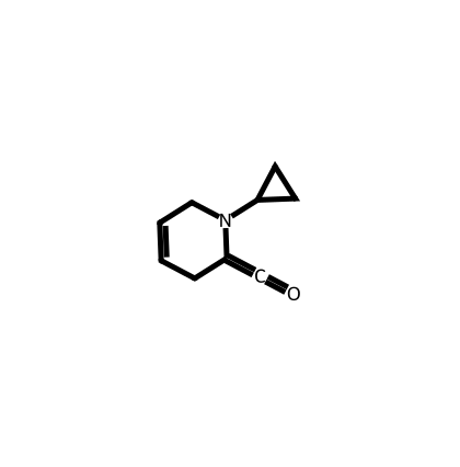 O=C=C1CC=CCN1C1CC1